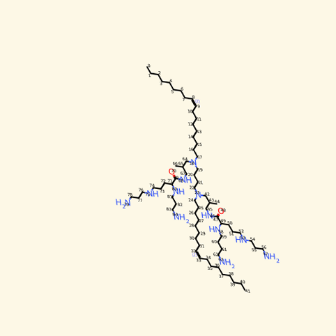 CCCCCCCC/C=C\CCCCCCCCN(CCCCN(CCCCCCCC/C=C\CCCCCCCC)CC(C)CNC(=O)C(CCCNCCCN)NCCCCN)CC(C)CNC(=O)C(CCCNCCCN)NCCCN